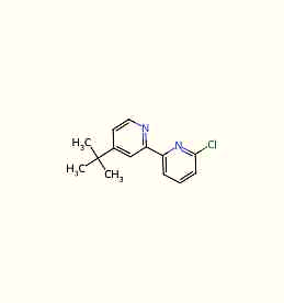 CC(C)(C)c1ccnc(-c2cccc(Cl)n2)c1